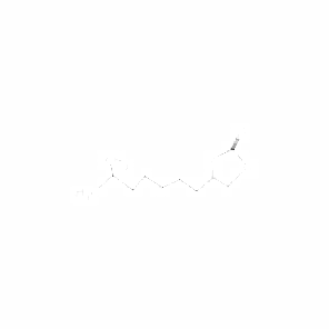 CC(C)CCCCCC1COC(=O)S1